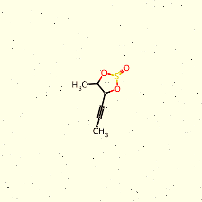 CC#CC1OS(=O)OC1C